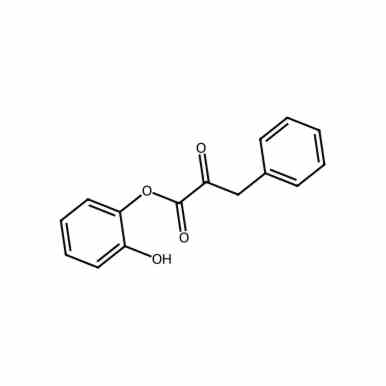 O=C(Cc1ccccc1)C(=O)Oc1ccccc1O